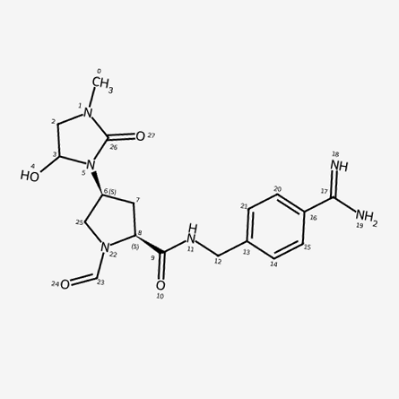 CN1CC(O)N([C@H]2C[C@@H](C(=O)NCc3ccc(C(=N)N)cc3)N(C=O)C2)C1=O